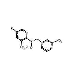 O=C(O)c1cc(F)ccc1[S+]([O-])Cc1cccc([N+](=O)[O-])c1